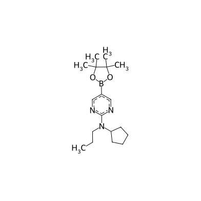 CCCN(c1ncc(B2OC(C)(C)C(C)(C)O2)cn1)C1CCCC1